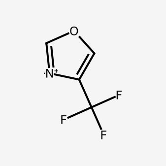 FC(F)(F)C1=COC=[N+]1